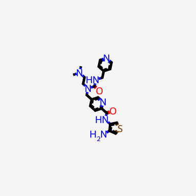 CN(C)CCN(Cc1ccc(C(=O)Nc2cscc2N)nc1)C(=O)NCc1ccncc1